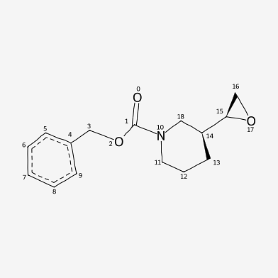 O=C(OCc1ccccc1)N1CCC[C@H]([C@H]2CO2)C1